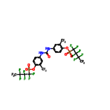 O=C(Nc1ccc(OS(=O)(=O)C(F)(F)C(F)(F)C(F)(F)C(F)(F)F)c(C(F)(F)F)c1)Nc1ccc(OS(=O)(=O)C(F)(F)C(F)(F)C(F)(F)C(F)(F)F)c(C(F)(F)F)c1